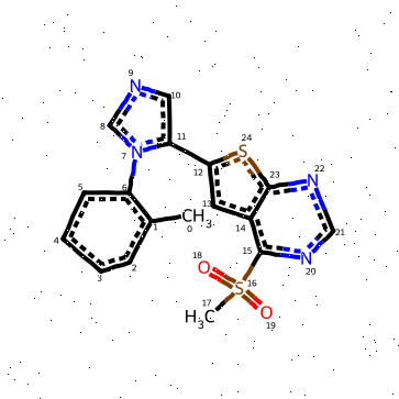 Cc1ccccc1-n1cncc1-c1cc2c(S(C)(=O)=O)ncnc2s1